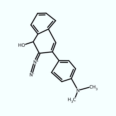 CN(C)c1ccc(C2=Cc3ccccc3C(O)C2=[N+]=[N-])cc1